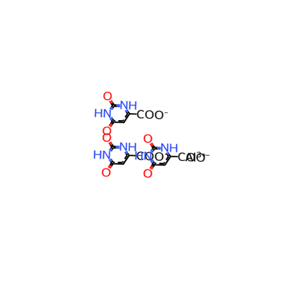 O=C([O-])c1cc(=O)[nH]c(=O)[nH]1.O=C([O-])c1cc(=O)[nH]c(=O)[nH]1.O=C([O-])c1cc(=O)[nH]c(=O)[nH]1.[Al+3]